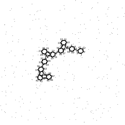 c1ccc(-c2ccc(-n3c4ccccc4c4cc(-c5ccc6c(c5)c5ccccc5n6-c5ccc(-c6ccc7c8cccc9c%10ccccc%10n(c7c6)c98)cc5)ccc43)cc2)cc1